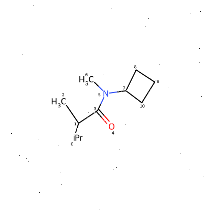 CC(C)C(C)C(=O)N(C)C1CCC1